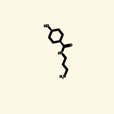 NCCCNC(=O)[C@H]1CC[C@@H](O)CC1